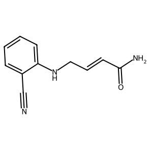 N#Cc1ccccc1NC/C=C/C(N)=O